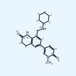 Cn1cc(-c2cc3c(c(CNC4CCCCC4)c2)NC(=O)CC3)ccc1=O